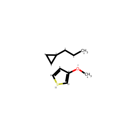 CCCC1CC1.COc1ccsc1